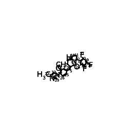 COc1cc(C=C2CC[C@H]3CC[C@@H](c4cc(F)c(F)cc4F)N3C2=O)ccc1-n1cnc(C)c1